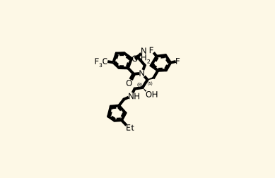 CCc1cccc(CNC[C@@H](O)[C@H](Cc2cc(F)cc(F)c2)N(CC(N)=O)C(=O)c2cccc(C(F)(F)F)c2)c1